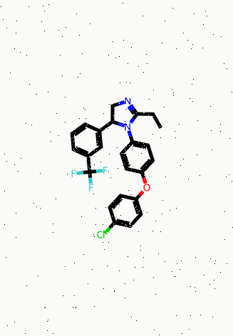 CCC1=NCC(c2cccc(C(F)(F)F)c2)N1c1ccc(Oc2ccc(Cl)cc2)cc1